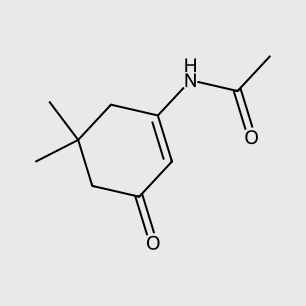 CC(=O)NC1=CC(=O)CC(C)(C)C1